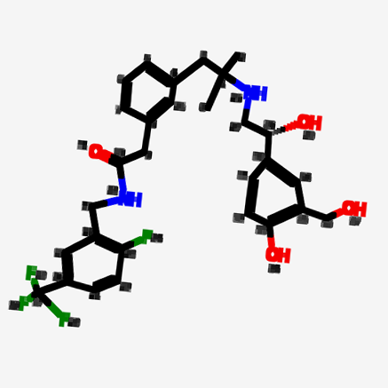 CC(C)(Cc1cccc(CC(=O)NCc2cc(C(F)(F)F)ccc2F)c1)NC[C@H](O)c1ccc(O)c(CO)c1